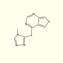 Cn1cnnc1Sc1ncnc2cscc12